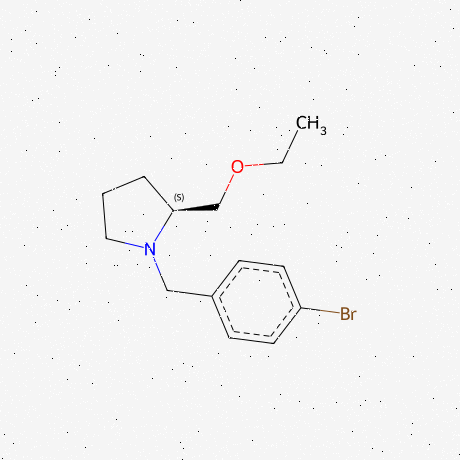 CCOC[C@@H]1CCCN1Cc1ccc(Br)cc1